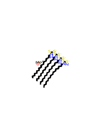 CCCCCCCCCCCCCCCCNC(=S)[S-].CCCCCCCCCCCCCCCCNC(=S)[S-].CCCCCCCCCCCCCCCCNC(=S)[S-].CCCCCCCCCCCCCCCCNC(=S)[S-].O=S.[Mo+4]